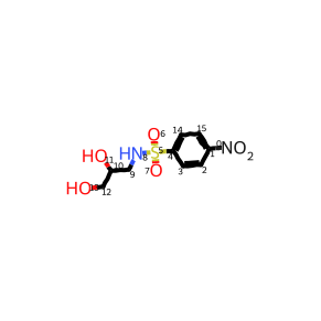 O=[N+]([O-])c1ccc(S(=O)(=O)NCC(O)CO)cc1